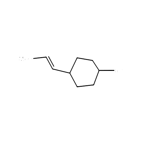 CCCC1CCC(C=COC)CC1